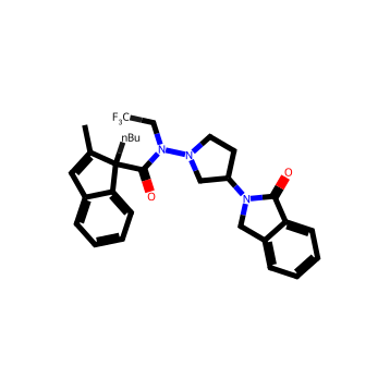 CCCCC1(C(=O)N(CC(F)(F)F)N2CCC(N3Cc4ccccc4C3=O)C2)C(C)=Cc2ccccc21